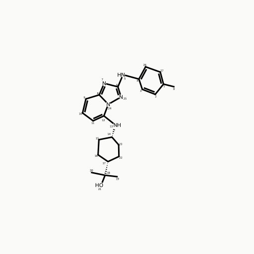 Cc1ccc(Nc2nc3cccc(N[C@H]4CC[C@@H](C(C)(C)O)CC4)n3n2)cc1